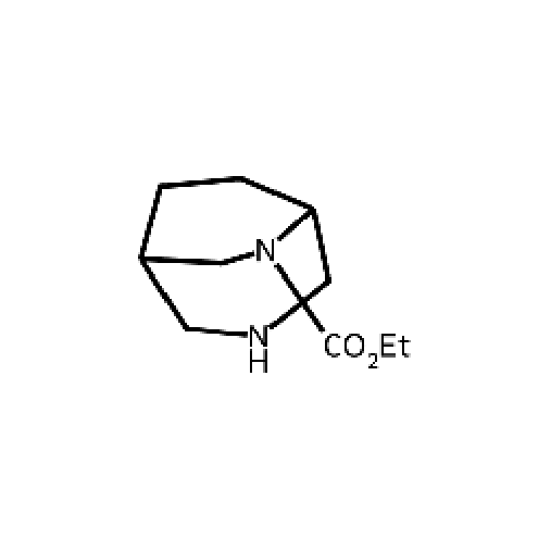 CCOC(=O)N1CC2CCC1CNC2